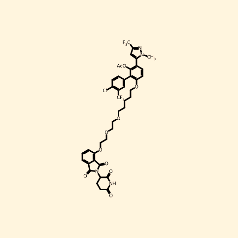 CC(=O)Oc1c(-c2cc(C(F)(F)F)nn2C)ccc(OCCCCCOCCOCCOc2cccc3c2C(=O)N(C2CCC(=O)NC2=O)C3=O)c1-c1ccc(Cl)c(C(F)(F)F)c1